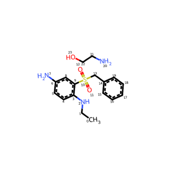 CCNc1ccc(N)cc1S(=O)(=O)Cc1ccccc1.NCCO